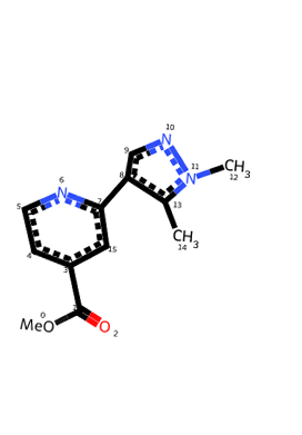 COC(=O)c1ccnc(-c2cnn(C)c2C)c1